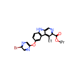 CCc1c(C(=O)OC(C)C)ncc2[nH]c3ccc(Oc4cnc(Br)cn4)cc3c12